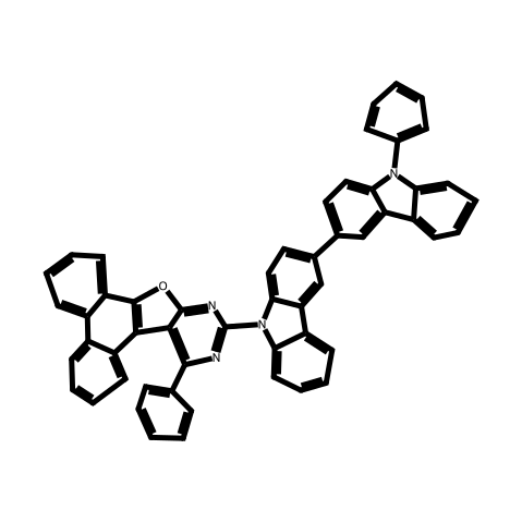 c1ccc(-c2nc(-n3c4ccccc4c4cc(-c5ccc6c(c5)c5ccccc5n6-c5ccccc5)ccc43)nc3oc4c5ccccc5c5ccccc5c4c23)cc1